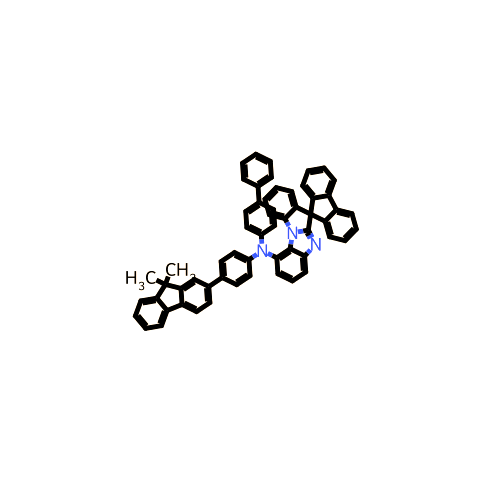 CC1(C)c2ccccc2-c2ccc(-c3ccc(N(c4ccc(-c5ccccc5)cc4)c4cccc5nc6n(c45)-c4ccccc4C64c5ccccc5-c5ccccc54)cc3)cc21